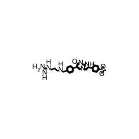 CS(=O)(=O)c1ccc(-c2cn3cc(-c4ccc(CNCCCNC(=N)N)cc4)c(=O)nc3[nH]2)cc1